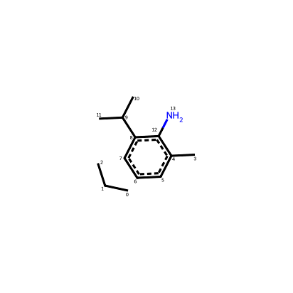 CCC.Cc1cccc(C(C)C)c1N